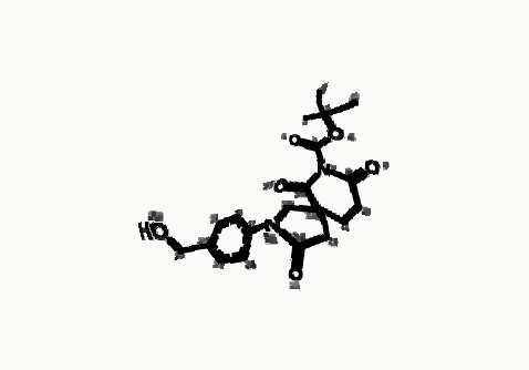 CC(C)(C)OC(=O)N1C(=O)CCC2(CC(=O)N(c3ccc(CO)cc3)C2)C1=O